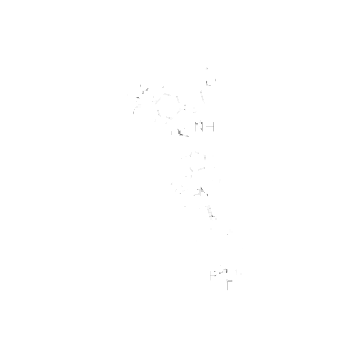 CCS(=O)(=O)c1ccc([C@H](/C=C/OC)NC(=O)c2cc3c(s2)[C@H](C(C)C)N(C#C[C@H]2CC[C@H](C(F)(F)F)CC2)C3)cc1